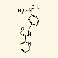 CN(C)c1cccc(-c2nc(-c3ccccn3)no2)c1